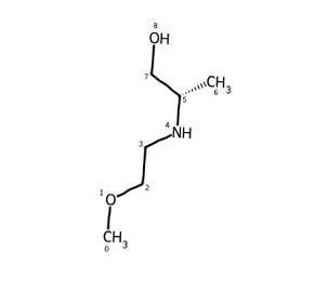 COCCN[C@@H](C)CO